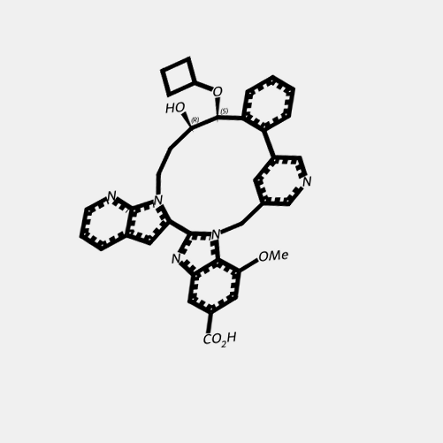 COc1cc(C(=O)O)cc2nc3n(c12)Cc1cncc(c1)-c1ccccc1[C@H](OC1CCC1)[C@H](O)CCn1c-3cc2cccnc21